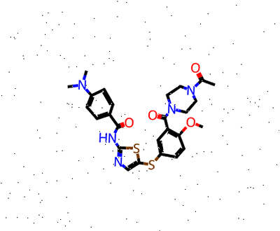 COc1ccc(Sc2cnc(NC(=O)c3ccc(N(C)C)cc3)s2)cc1C(=O)N1CCN(C(C)=O)CC1